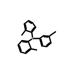 Cc1cccc(N(c2ccccc2C)c2ccccc2C)c1